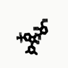 Cc1cc(C)cc(N2C(=O)C(=NNc3cccc(CO)c3O)c3ccc(C(F)(F)F)cc32)c1